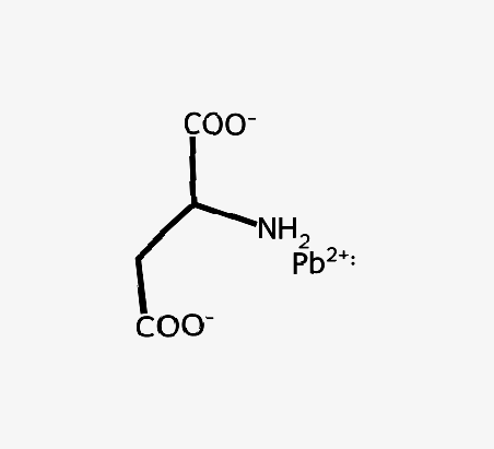 NC(CC(=O)[O-])C(=O)[O-].[Pb+2]